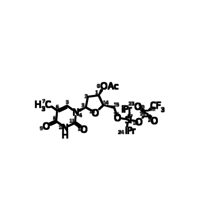 CC(=O)O[C@@H]1C[C@H](n2cc(C)c(=O)[nH]c2=O)O[C@@H]1CO[Si](OS(=O)(=O)C(F)(F)F)(C(C)C)C(C)C